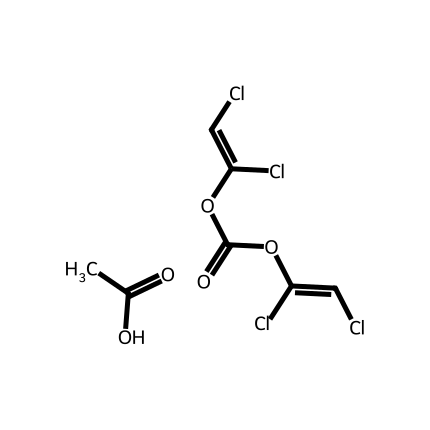 CC(=O)O.O=C(OC(Cl)=CCl)OC(Cl)=CCl